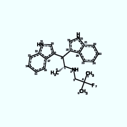 C[C@@H](NCC(C)(C)F)C(c1c[nH]c2ccccc12)c1c[nH]c2ccccc12